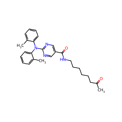 CC(=O)CCCCCCNC(=O)c1cnc(N(c2ccccc2C)c2ccccc2C)nc1